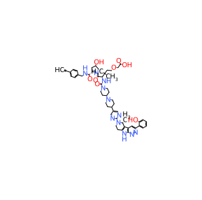 C#Cc1ccc(CNC(=O)[C@@H]2C[C@@H](O)CN2C(=O)[C@@H](NC(=O)N2CCC(N3CCC(c4cnc(N5CCc6[nH]c7nnc(-c8ccccc8O)cc7c6[C@H]5C)nc4)CC3)CC2)C(C)(C)CCOCC(=O)O)cc1